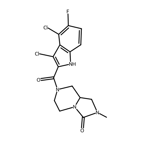 CN1CC2CN(C(=O)c3[nH]c4ccc(F)c(Cl)c4c3Cl)CCN2C1=O